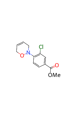 COC(=O)c1ccc(N2CC=CCO2)c(Cl)c1